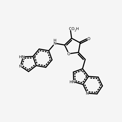 O=C(O)C1=C(Nc2ccc3cn[nH]c3c2)OC(=Cc2c[nH]c3ncccc23)C1=O